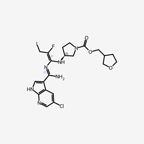 N/C(=N\C(N[C@H]1CCN(C(=O)OCC2CCOC2)C1)=C(\F)CI)c1c[nH]c2ncc(Cl)cc12